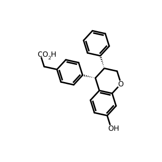 O=C(O)Cc1ccc([C@H]2c3ccc(O)cc3OC[C@H]2c2ccccc2)cc1